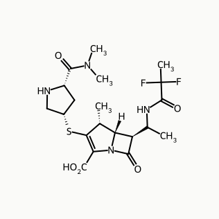 CC(NC(=O)C(C)(F)F)[C@H]1C(=O)N2C(C(=O)O)=C(S[C@@H]3CN[C@H](C(=O)N(C)C)C3)[C@H](C)[C@H]12